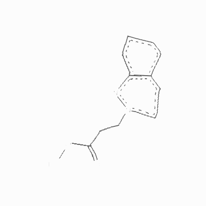 COC(=O)CC[n+]1ccc2ccccc2n1